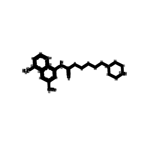 COc1cc(NC(=O)CCCCCN2CCNCC2)c2nccc(C)c2c1